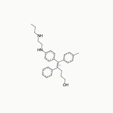 CCCNCCNc1ccc(/C(=C(/CCCO)c2ccccc2)c2ccc(C)cc2)cc1